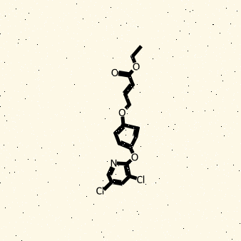 CCOC(=O)/C=C/COc1ccc(Oc2ncc(Cl)cc2Cl)cc1